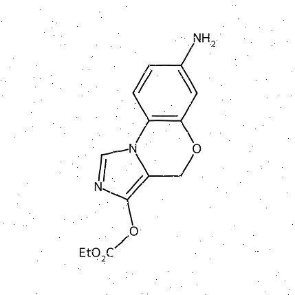 CCOC(=O)Oc1ncn2c1COc1cc(N)ccc1-2